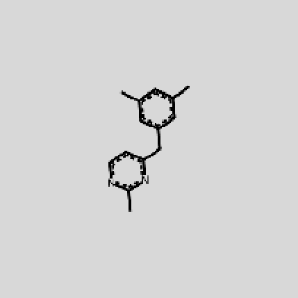 Cc1cc(C)cc(Cc2ccnc(C)n2)c1